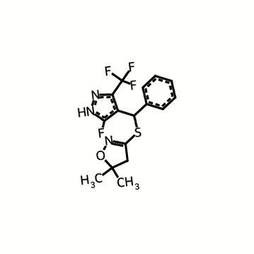 CC1(C)CC(SC(c2ccccc2)c2c(C(F)(F)F)n[nH]c2F)=NO1